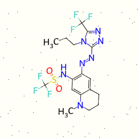 CCCn1c(N=Nc2cc3c(cc2NS(=O)(=O)C(F)(F)F)N(C)CCC3)nnc1C(F)(F)F